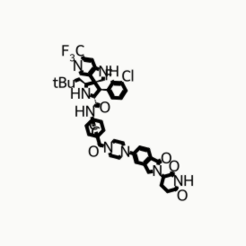 CC(C)(C)C[C@@H]1N[C@@H](C(=O)NC23CCC(C(=O)N4CCN(c5ccc6c(c5)CN(C5CCC(=O)NC5=O)C6=O)CC4)(CC2)CC3)[C@H](c2cccc(Cl)c2F)[C@]12CNc1cc(C(F)(F)F)ncc12